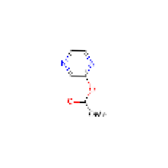 COC(=O)Oc1cnccn1